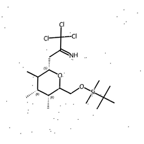 CC1[C@H](CC(=N)C(Cl)(Cl)Cl)OC(CO[Si](C)(C)C(C)(C)C)[C@H](C)[C@@H]1C